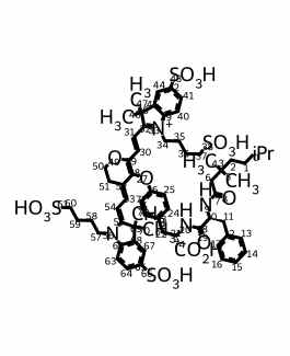 CC(C)CCC(C)(C)CC(=O)N[C@@H](Cc1ccccc1)C(=O)N[C@@H](Cc1ccc(OC2=C(/C=C/C3=[N+](CCCCS(=O)(=O)O)c4ccc(S(=O)(=O)O)cc4C3(C)C)OCC/C2=C\C=C2\N(CCCCS(=O)(=O)O)c3ccc(S(=O)(=O)O)cc3C2(C)C)cc1)C(=O)O